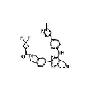 O=C(C1CC(F)(F)C1)N1Cc2ccc(-c3nc4c(c(Nc5ccc(-c6cn[nH]c6)cc5)n3)CNC4)cc2C1